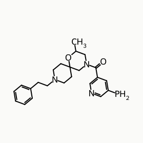 CC1CN(C(=O)c2cncc(P)c2)CC2(CCN(CCc3ccccc3)CC2)O1